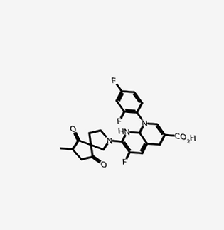 CC1CC(=O)C2(CCN(C3=C(F)C=C4CC(C(=O)O)=CN(c5ccc(F)cc5F)C4N3)C2)C1=O